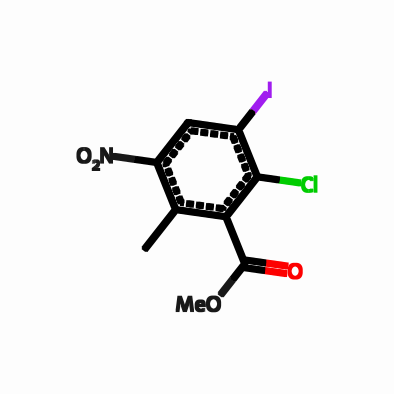 COC(=O)c1c(C)c([N+](=O)[O-])cc(I)c1Cl